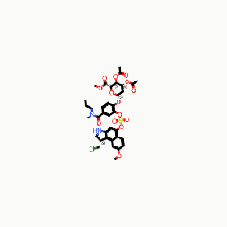 CCCN(C)C(=O)c1ccc(O[C@H]2C[C@@H](OC(C)=O)[C@H](OC(C)=O)[C@@H](C(=O)OC)O2)c(OS(=O)(=O)Oc2cc3c(c4cc(OC)ccc24)[C@H](CCl)CN3)c1